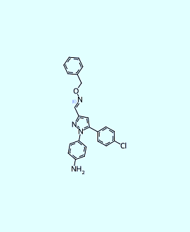 Nc1ccc(-n2nc(/C=N/OCc3ccccc3)cc2-c2ccc(Cl)cc2)cc1